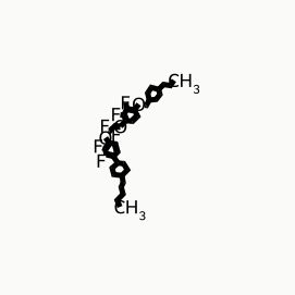 CCCCCC1CCC(c2ccc(OC(F)(F)COc3ccc(OCC4CCC(CCC)CC4)c(F)c3F)c(F)c2F)CC1